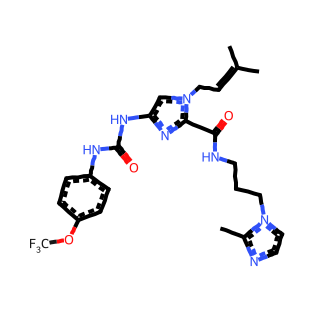 CC(C)=CCn1cc(NC(=O)Nc2ccc(OC(F)(F)F)cc2)nc1C(=O)NCCCn1ccnc1C